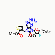 COC(=O)c1sccc1Cn1c(=O)n([C@@H]2O[C@H](COC(C)=O)[C@@H](F)[C@H]2OC(C)=O)c2nc(N)ncc21